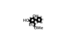 CCc1c(O)cc(O)c(-c2cc[c]cc2)c1CCOC